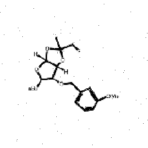 CCCC[C@H]1O[C@@H]2OC(C)(CF)O[C@@H]2[C@H]1OCc1cccc(OC)c1